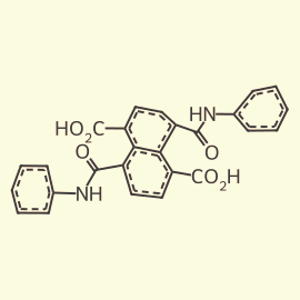 O=C(O)c1ccc(C(=O)Nc2ccccc2)c2c(C(=O)O)ccc(C(=O)Nc3ccccc3)c12